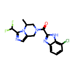 CC1CN(C(=O)c2nc3cccc(Cl)c3[nH]2)Cc2cnc(C(F)F)n21